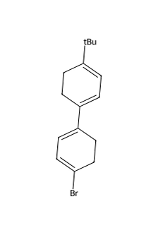 CC(C)(C)C1=CC=C(C2=CC=C(Br)CC2)CC1